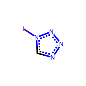 In1cnnn1